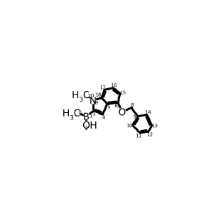 CB(O)c1cc2c(OCc3ccccc3)cccc2n1C